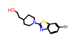 OCCC1CCN(c2nc3ccc(Br)cc3s2)CC1